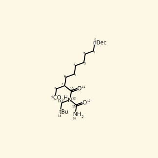 CCCCCCCCCCCCCCCCC(CC(=O)O)C(=O)N(CC(C)(C)C)C(N)=O